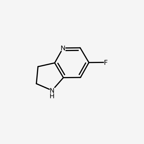 Fc1cnc2c(c1)NCC2